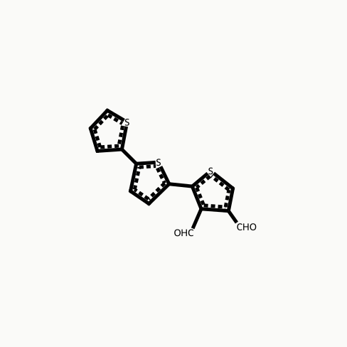 O=Cc1csc(-c2ccc(-c3cccs3)s2)c1C=O